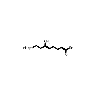 CCCCCCCCC/C(C)=C/CCC=C(Br)Br